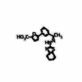 CC(=NNc1nc2ccccc2s1)c1cccc(-c2ccc(C(=O)O)o2)c1